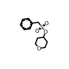 O=S(=O)(Cc1ccccc1)OC1CCOCC1